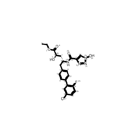 CCOC(=O)[C@H](O)C[C@@H](Cc1ccc(-c2cc(Cl)ccc2F)cc1)NC(=O)c1cn(O)nn1